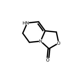 O=C1OCC2=CNCCN12